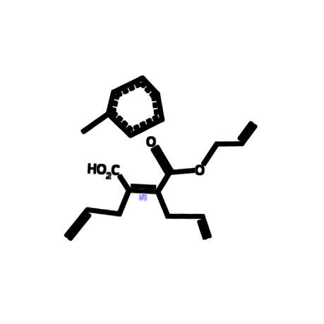 C=CCOC(=O)/C(CC=C)=C(/CC=C)C(=O)O.Cc1ccccc1